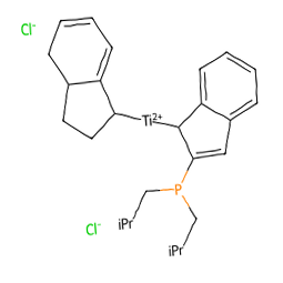 CC(C)CP(CC(C)C)C1=Cc2ccccc2[CH]1[Ti+2][CH]1CCC2CC=CC=C21.[Cl-].[Cl-]